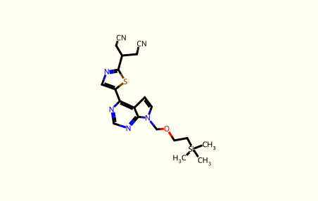 C[Si](C)(C)CCOCn1ccc2c(-c3cnc(C(CC#N)CC#N)s3)ncnc21